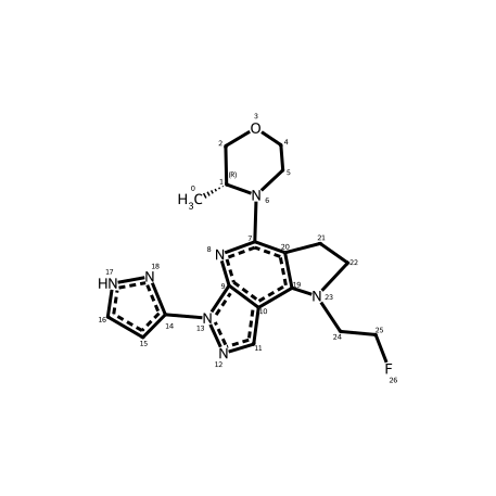 C[C@@H]1COCCN1c1nc2c(cnn2-c2cc[nH]n2)c2c1CCN2CCF